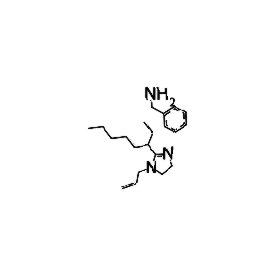 C=CCN1CCN=C1C(CC)CCCCC.NCc1ccccc1